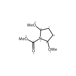 COC(=O)N1C(OC)CCC1OC